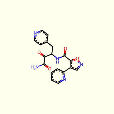 NC(=O)C(=O)C(Cc1ccncc1)NC(=O)c1oncc1-c1ccccn1